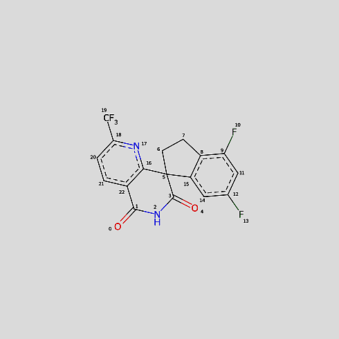 O=C1NC(=O)C2(CCc3c(F)cc(F)cc32)c2nc(C(F)(F)F)ccc21